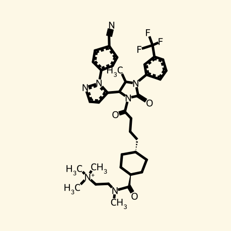 CC1C(c2ccnn2-c2ccc(C#N)cc2)N(C(=O)CCC[C@H]2CC[C@H](C(=O)N(C)CC[N+](C)(C)C)CC2)C(=O)N1c1cccc(C(F)(F)F)c1